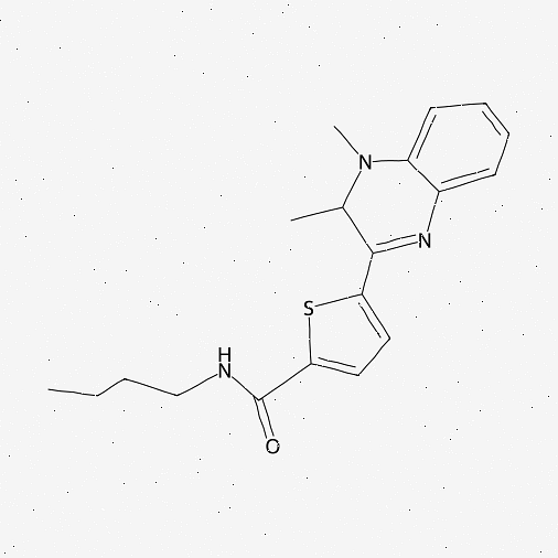 CCCCNC(=O)c1ccc(C2=Nc3ccccc3N(C)C2C)s1